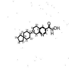 O=C(NO)c1cnc2c(c1)CCN(C1CCC3(CCCC3)CC1)C2